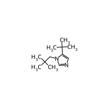 CC(C)(C)Cn1cncc1C(C)(C)C